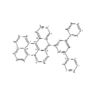 c1ccc(-c2cc(-c3c4ccccc4c(-c4cccc5ccccc45)c4ncccc34)cc(-c3ccccc3)n2)cc1